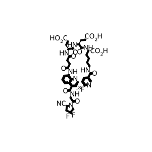 N#C[C@@H]1CC(F)(F)CN1C(=O)CNC(=O)c1ccnc2c(NC(=O)CCC(=O)N[C@@H](CCC(=O)O)C(=O)N[C@@H](CCC(=O)O)C(=O)N[C@@H](CCCCNC(=O)c3ccc([18F])nc3)C(=O)O)cccc12